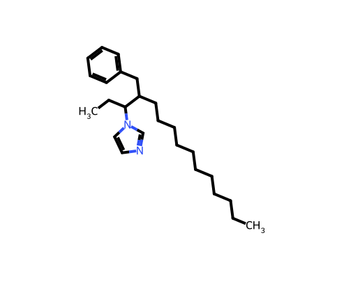 CCCCCCCCCCCC(Cc1ccccc1)C(CC)n1ccnc1